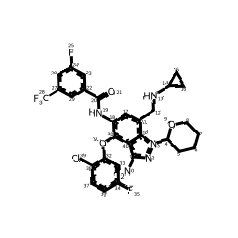 Nc1nn(C2CCCCO2)c2c(CNC3CC3)cc(NC(=O)c3cc(F)cc(C(F)(F)F)c3)c(Oc3cc(F)ccc3Cl)c12